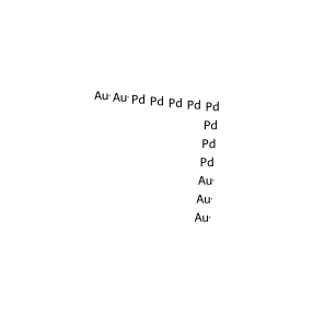 [Au].[Au].[Au].[Au].[Au].[Pd].[Pd].[Pd].[Pd].[Pd].[Pd].[Pd].[Pd]